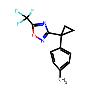 Cc1ccc(C2(c3noc(C(F)(F)F)n3)CC2)cc1